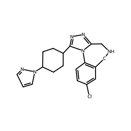 Clc1ccc2c(c1)CNCc1nnc(C3CCC(n4cccn4)CC3)n1-2